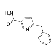 NC(=O)c1ccc(Cc2ccccc2)nc1